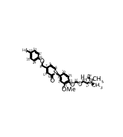 COc1cc(-n2ccc(COc3ccc(I)cc3)cc2=O)ccc1OCOCC[Si](C)(C)C